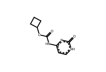 O=C(Nc1cc[nH]c(=O)n1)OC1CCC1